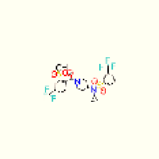 CS(=O)(=O)c1cc(C(F)(F)F)ccc1C(=O)N1CCC(N(C2CC2)S(=O)(=O)c2cccc(C(F)(F)F)c2)CC1